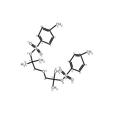 Cc1ccc(S(=O)(=O)OC(C)(C)COCC(C)(C)OS(=O)(=O)c2ccc(C)cc2)cc1